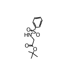 CC(C)(C)OC(=O)CNS(=O)(=O)c1ccccc1